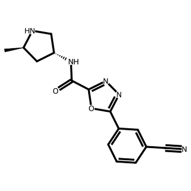 C[C@@H]1C[C@@H](NC(=O)c2nnc(-c3cccc(C#N)c3)o2)CN1